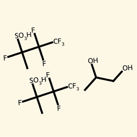 CC(F)(C(F)(F)C(F)(F)F)S(=O)(=O)O.CC(F)(C(F)(F)C(F)(F)F)S(=O)(=O)O.CC(O)CO